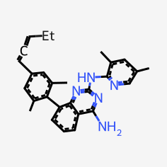 CCC=C=Cc1cc(C)c(-c2cccc3c(N)nc(Nc4ncc(C)cc4C)nc23)c(C)c1